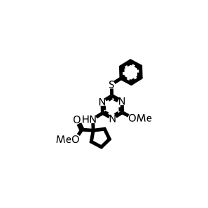 COC(=O)C1(Nc2nc(OC)nc(Sc3ccccc3)n2)CCCC1